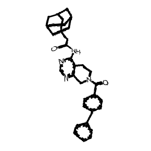 O=C(CC12CC3CC(CC(C3)C1)C2)Nc1ncnc2c1CCN(C(=O)c1ccc(-c3ccccc3)cc1)C2